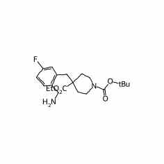 CCOC(=O)C1(Cc2cc(F)ccc2CN)CCN(C(=O)OC(C)(C)C)CC1